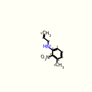 C=CCNc1cccc(C)c1[N+](=O)[O-]